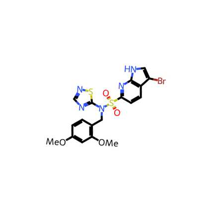 COc1ccc(CN(c2ncns2)S(=O)(=O)c2ccc3c(Br)c[nH]c3n2)c(OC)c1